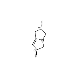 F[C@H]1CC2=C[C@H](F)CN2C1